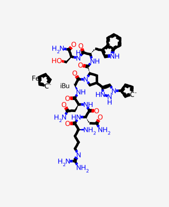 CC[C@H](C)[C@H](NC(=O)[C@H](CC(N)=O)NC(=O)[C@H](CC(N)=O)NC(=O)[C@@H](N)CCCN=C(N)N)C(=O)N1CC(C2=CN(c3cc[cH-]c3)NN2)C[C@H]1C(=O)N[C@@H](Cc1c[nH]c2ccccc12)C(=O)N[C@@H](CO)C(N)=O.[Fe+2].c1cc[cH-]c1